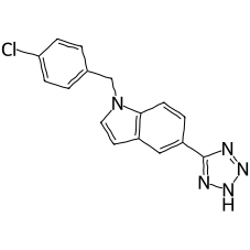 Clc1ccc(Cn2ccc3cc(-c4nn[nH]n4)ccc32)cc1